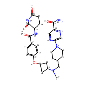 CC(C)N(CC1CCN(c2cnc(C(N)=O)cn2)CC1)C1CC(Oc2ccc(C(=O)NC3CCC(=O)NC3=O)cc2)C1